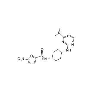 CN(C)c1ccnc(N[C@H]2CC[C@@H](NC(=O)c3ccc([N+](=O)[O-])o3)CC2)n1